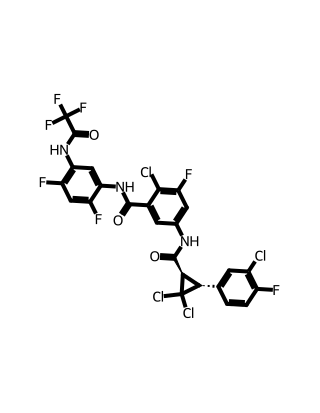 O=C(Nc1cc(NC(=O)C(F)(F)F)c(F)cc1F)c1cc(NC(=O)[C@H]2[C@H](c3ccc(F)c(Cl)c3)C2(Cl)Cl)cc(F)c1Cl